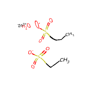 CCS(=O)(=O)[O-].CCS(=O)(=O)[O-].O.[Zn+2]